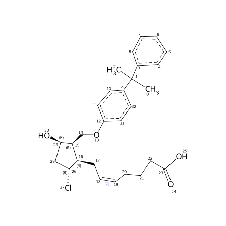 CC(C)(c1ccccc1)c1ccc(OC[C@H]2[C@@H](C/C=C\CCCC(=O)O)[C@H](Cl)C[C@H]2O)cc1